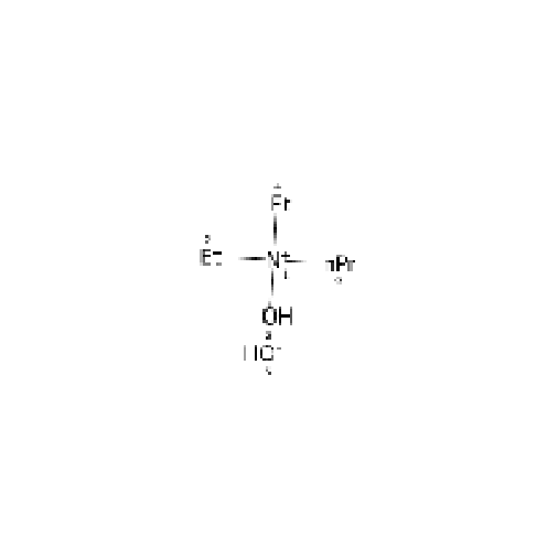 CCC[N+](O)(CC)CC.[OH-]